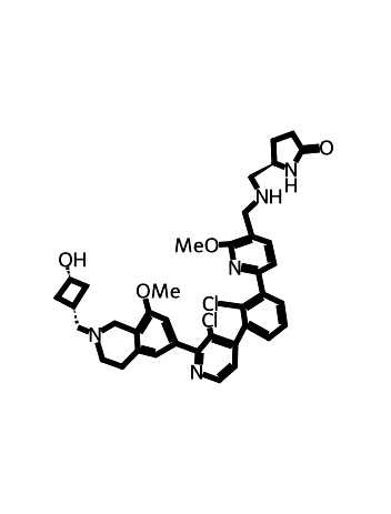 COc1cc(-c2nccc(-c3cccc(-c4ccc(CNC[C@H]5CCC(=O)N5)c(OC)n4)c3Cl)c2Cl)cc2c1CN(C[C@H]1C[C@@H](O)C1)CC2